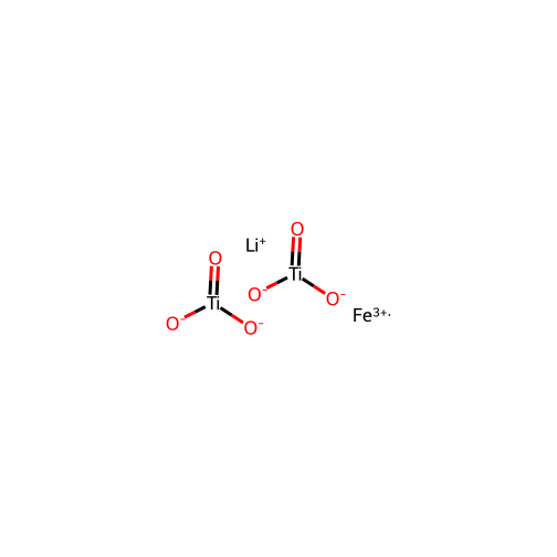 [Fe+3].[Li+].[O]=[Ti]([O-])[O-].[O]=[Ti]([O-])[O-]